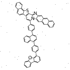 c1ccc2cc3cc4c(cc3cc2c1)nc1c2sc3c5ccccc5ccc3c2cc(-c2ccc(-c3ccc(-c5ccc(-c6cccc7c6oc6ccccc67)cc5)c5ccccc35)cc2)n41